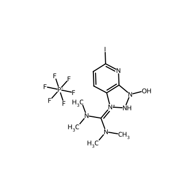 CN(C)C(N(C)C)=[N+]1NN(O)c2nc(I)ccc21.F[P-](F)(F)(F)(F)F